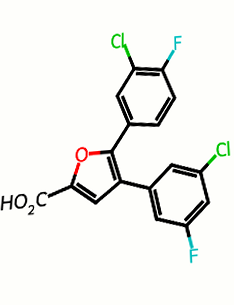 O=C(O)c1cc(-c2cc(F)cc(Cl)c2)c(-c2ccc(F)c(Cl)c2)o1